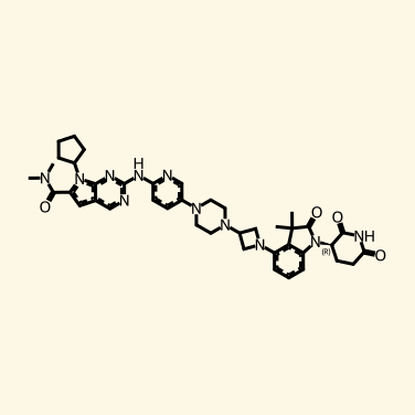 CN(C)C(=O)c1cc2cnc(Nc3ccc(N4CCN(C5CN(c6cccc7c6C(C)(C)C(=O)N7[C@@H]6CCC(=O)NC6=O)C5)CC4)cn3)nc2n1C1CCCC1